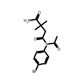 CC(=O)N(C(=O)CC(C)(C)C(N)=O)c1ccc(Br)cc1